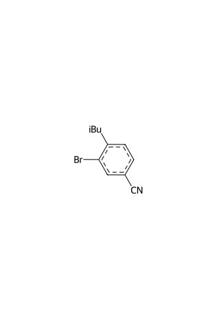 CCC(C)c1ccc(C#N)cc1Br